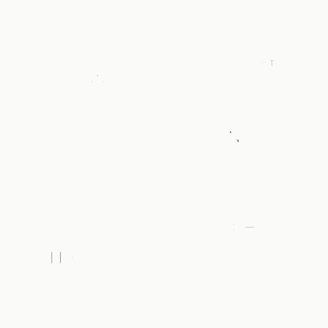 CCC1=Nc2c(C)cc(C)cc2C(=O)C1